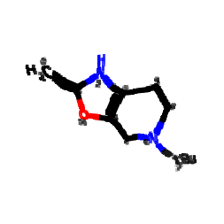 C=C1NC2=C(CN(C(C)(C)C)CC2)O1